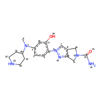 CN(c1ccc(-n2cc3c(n2)CN(C(N)=O)C3)c(O)c1)C1CCNCC1